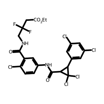 CCOC(=O)CC(F)(F)CNC(=O)c1cc(NC(=O)C2C(c3cc(Cl)cc(Cl)c3)C2(Cl)Cl)ccc1Cl